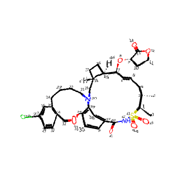 C[C@@H]1[C@@H](C)C/C=C/[C@H](O[C@H]2CCOC2=O)[C@@H]2CC[C@H]2CN2CCCCc3cc(Cl)ccc3COc3ccc(cc32)C(=O)NS1(=O)=O